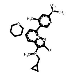 C1CCOCC1.CCc1nn2c(-c3cnc(N(C)C)cc3C)cccc2c1N(C)CC1CC1